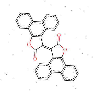 O=C1Oc2c(c3ccccc3c3ccccc23)C1=C1C(=O)Oc2c1c1ccccc1c1ccccc21